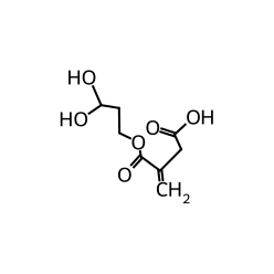 C=C(CC(=O)O)C(=O)OCCC(O)O